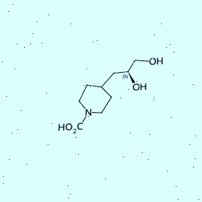 O=C(O)N1CCC(C[C@H](O)CO)CC1